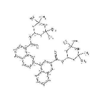 CC1(C)CC(OC(=O)c2cc(-c3ccc4cccc(C(=O)OC5CC(C)(C)NC(C)(C)C5)c4c3)c3ccccc3c2)CC(C)(C)N1